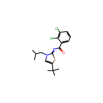 CC(C)Cn1cc(C(C)(C)C)sc1=NC(=O)c1cccc(Cl)c1Cl